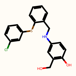 OCc1cc(NCc2ccccc2Sc2cccc(Cl)c2)ccc1O